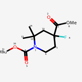 COC(=O)C1(F)CCN(C(=O)OC(C)(C)C)C(C)(C)C1